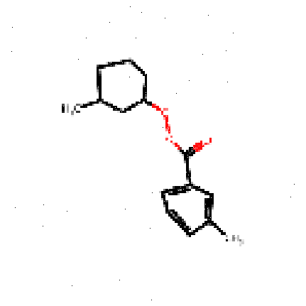 Cc1cccc(C(=O)OO[C]2CCCC(C)C2)c1